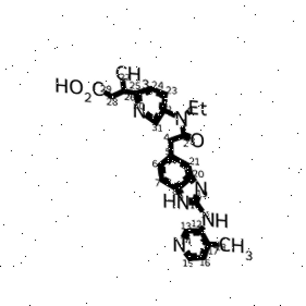 CCN(C(=O)Cc1ccc2[nH]c(Nc3cnccc3C)nc2c1)c1ccc(C(C)CC(=O)O)nc1